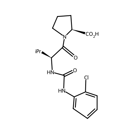 CC(C)[C@H](NC(=O)Nc1ccccc1Cl)C(=O)N1CCC[C@H]1C(=O)O